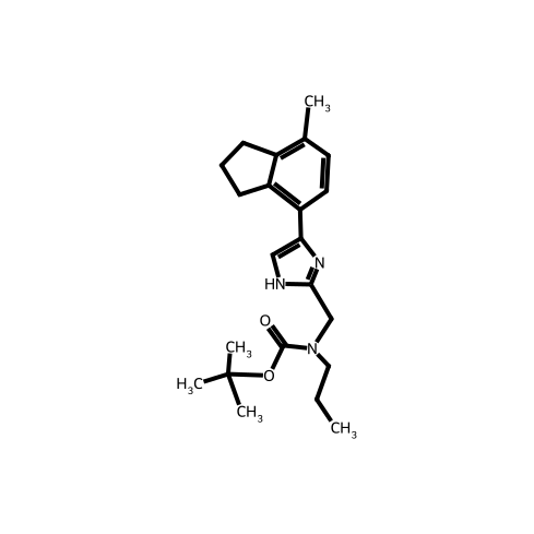 CCCN(Cc1nc(-c2ccc(C)c3c2CCC3)c[nH]1)C(=O)OC(C)(C)C